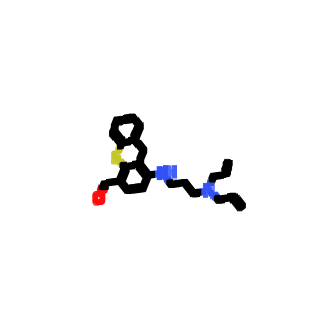 C=CCN(CC=C)CCCNc1ccc(C=O)c2c1Cc1ccccc1S2